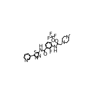 CN1CCN(CC(=O)Nc2c(OC(F)(F)F)ccc(C(=O)Nc3nnc(-c4cccnc4)s3)c2F)CC1